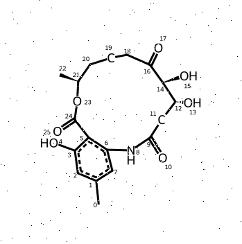 Cc1cc(O)c2c(c1)NC(=O)C[C@@H](O)[C@H](O)C(=O)CCC[C@H](C)OC2=O